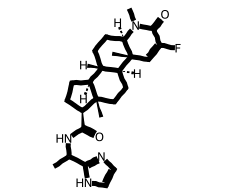 CC(NC(=O)[C@H]1CC[C@H]2[C@@H]3CC[C@H]4N(C)C(=O)C(F)=C[C@]4(C)[C@H]3CC[C@]12C)c1ncc[nH]1